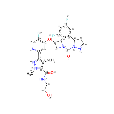 Cc1c(-c2cc(OC3CN(C(=O)N4N=CCC4c4cc(F)cc(F)c4)C3)c(F)cn2)nn(C)c1C(=O)NCCO